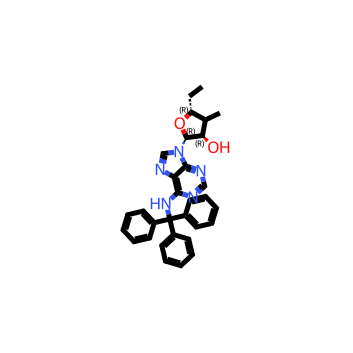 CC[C@H]1O[C@@H](n2cnc3c(NC(c4ccccc4)(c4ccccc4)c4ccccc4)ncnc32)[C@H](O)C1C